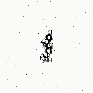 Cc1nc[nH]c1CN1CCC2(CC1)COC1c3ccc(Cl)cc3OC(C)(C)C1C2